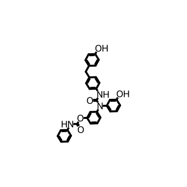 O=C(Nc1ccccc1)Oc1cccc(N(C(=O)Nc2ccc(Cc3ccc(O)cc3)cc2)c2cccc(O)c2)c1